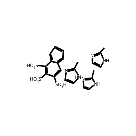 Cc1ncc[nH]1.Cc1ncc[nH]1.Cc1ncc[nH]1.O=S(=O)(O)c1cc2ccccc2c(S(=O)(=O)O)c1S(=O)(=O)O